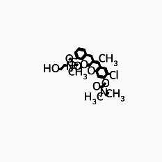 Cc1c(Cc2cccc(S(=O)(=O)N(C)CCO)c2)c(=O)oc2cc(OC(=O)N(C)C)c(Cl)cc12